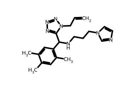 C=CCn1nnnc1C(NCCCn1ccnc1)c1cc(C)c(C)cc1C